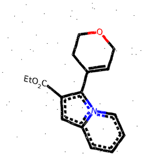 CCOC(=O)c1cc2ccccn2c1C1=CCOCC1